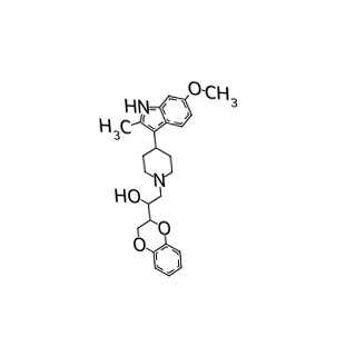 COc1ccc2c(C3CCN(CC(O)C4COc5ccccc5O4)CC3)c(C)[nH]c2c1